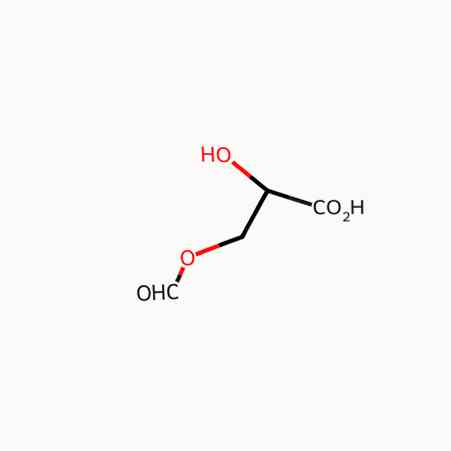 O=COCC(O)C(=O)O